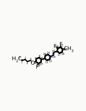 C=CCCCOc1ccc(-c2ccc(/C=C/c3ccc(C)c(F)c3F)cc2)cc1F